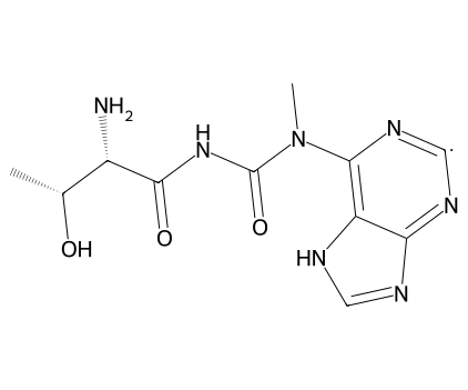 C[C@@H](O)[C@H](N)C(=O)NC(=O)N(C)c1n[c]nc2nc[nH]c12